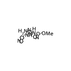 COCCOc1ncccc1Nc1cnc(N)c(NCc2ccc3ncccc3c2)n1